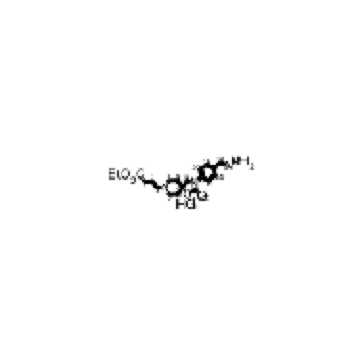 CCOC(=O)CCCN1CCC2(CC1)CN(c1ccc(C=NN)cc1)C(=O)O2.Cl